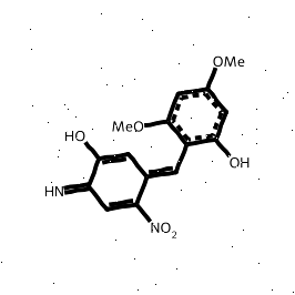 COc1cc(O)c(C=C2C=C(O)C(=N)C=C2[N+](=O)[O-])c(OC)c1